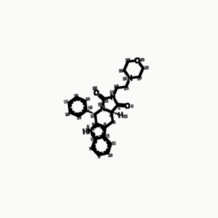 O=C1[C@H]2Cc3c([nH]c4ccccc34)[C@H](c3ccccc3)N2C(=O)N1CCN1CCOCC1